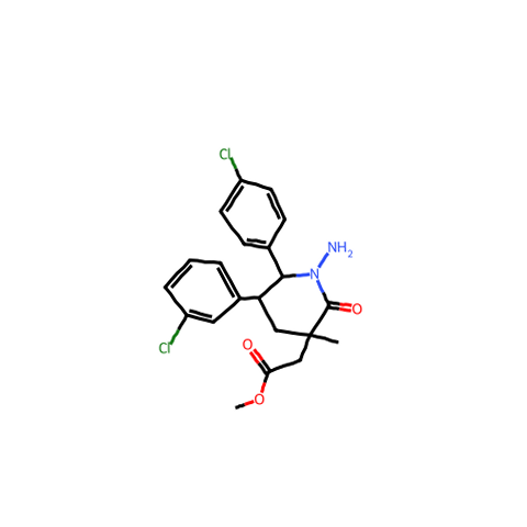 COC(=O)CC1(C)CC(c2cccc(Cl)c2)C(c2ccc(Cl)cc2)N(N)C1=O